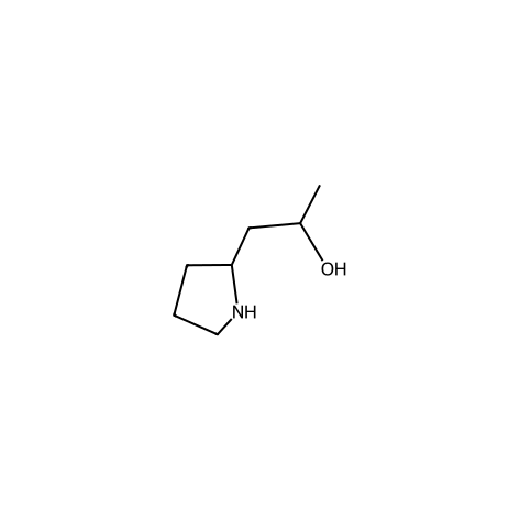 CC(O)CC1CCCN1